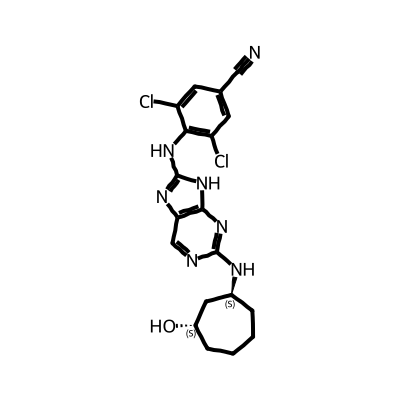 N#Cc1cc(Cl)c(Nc2nc3cnc(N[C@H]4CCCC[C@H](O)C4)nc3[nH]2)c(Cl)c1